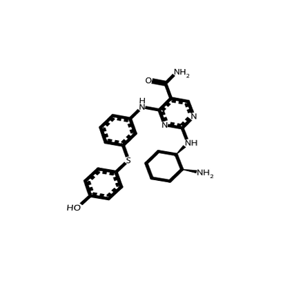 NC(=O)c1cnc(N[C@@H]2CCCC[C@@H]2N)nc1Nc1cccc(Sc2ccc(O)cc2)c1